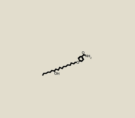 CCCCCCC(O)CCCCCCCCCCCOc1ccc(C(N)=O)cc1